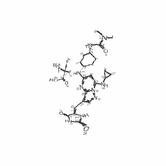 CN(C)C(=O)N[C@H]1CC[C@H](Nc2cc(NC3CC3)n3ncc(/C=C4\NC(=O)NC4=O)c3n2)CC1.O=C(O)C(F)(F)F